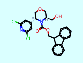 O=C(OCC1c2ccccc2-c2ccccc21)N1[C@H](CO)COC[C@H]1c1cc(Cl)nc(Cl)c1